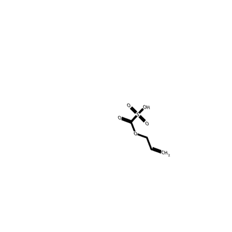 C=CCOC(=O)S(=O)(=O)O